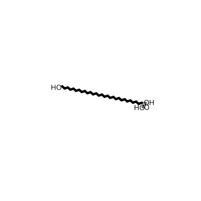 O=P(O)(O)CCCCCCCCCCCCCCCCCCCCCCCCCCCCCO